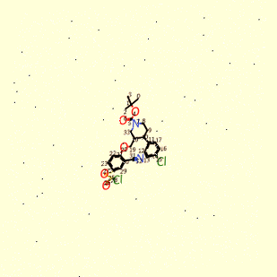 CC(C)(C)OC(=O)N1CCC(c2ccc(Cl)cc2)C(COc2ccc(S(=O)(=O)Cl)cc2C#N)C1